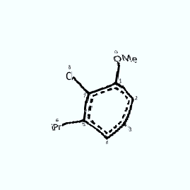 COc1cccc(C(C)C)c1Cl